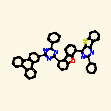 c1ccc(-c2nc(-c3ccc4c5ccccc5c5ccccc5c4c3)nc(-c3cccc4oc5c(-c6nc(-c7ccccc7)nc7c6sc6ccccc67)cccc5c34)n2)cc1